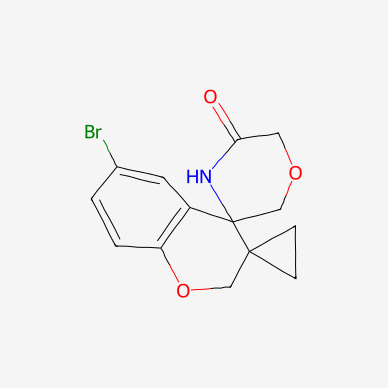 O=C1COCC2(N1)c1cc(Br)ccc1OCC21CC1